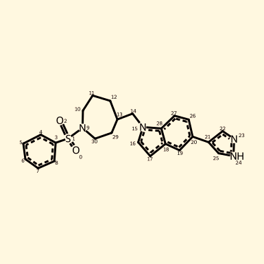 O=S(=O)(c1ccccc1)N1CCCC(Cn2ccc3cc(-c4cn[nH]c4)ccc32)CC1